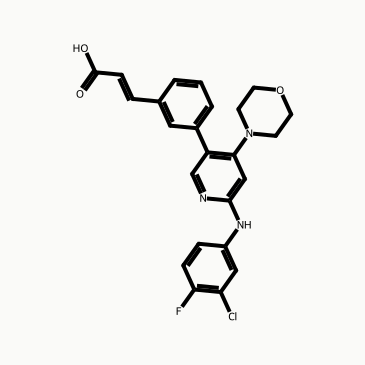 O=C(O)/C=C/c1cccc(-c2cnc(Nc3ccc(F)c(Cl)c3)cc2N2CCOCC2)c1